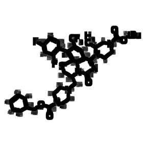 CC1CN(C(=O)OC(C)(C)C)CCN1c1nc(=O)n2c3c(c(-c4ccc(F)cc4F)c(C(F)(F)F)cc13)SC[C@@H]2CN1CCN(C(=O)OCc2ccccc2)CC1